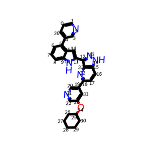 c1cncc(-c2cccc3[nH]c(-c4n[nH]c5ccc(-c6cncc(OC7CCCCC7)c6)nc45)cc23)c1